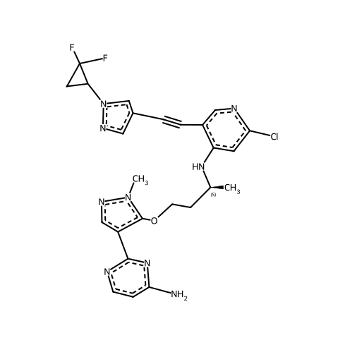 C[C@@H](CCOc1c(-c2nccc(N)n2)cnn1C)Nc1cc(Cl)ncc1C#Cc1cnn(C2CC2(F)F)c1